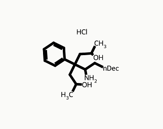 CCCCCCCCCCCC(N)C(CC(C)O)(CC(C)O)c1ccccc1.Cl